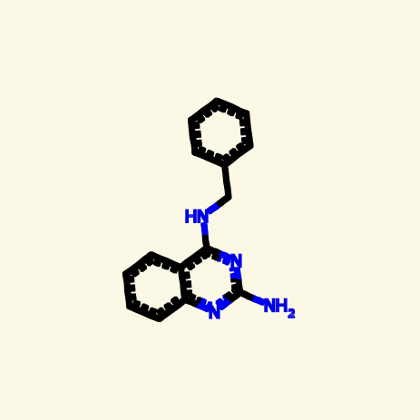 Nc1nc(NCc2ccccc2)c2ccccc2n1